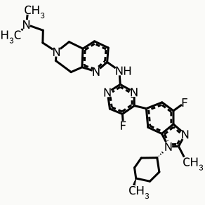 Cc1nc2c(F)cc(-c3nc(Nc4ccc5c(n4)CCN(CCN(C)C)C5)ncc3F)cc2n1[C@H]1CC[C@H](C)CC1